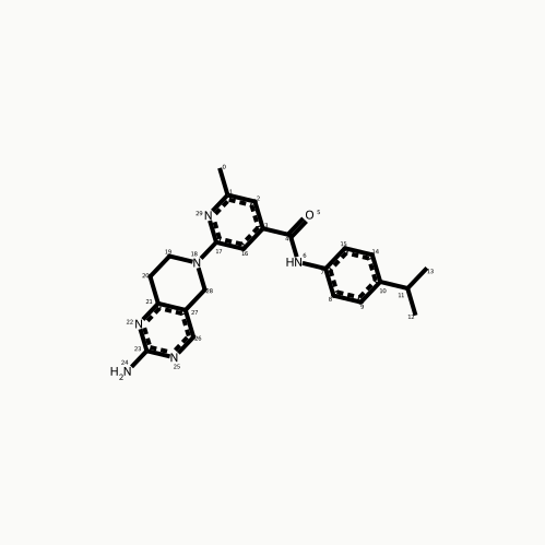 Cc1cc(C(=O)Nc2ccc(C(C)C)cc2)cc(N2CCc3nc(N)ncc3C2)n1